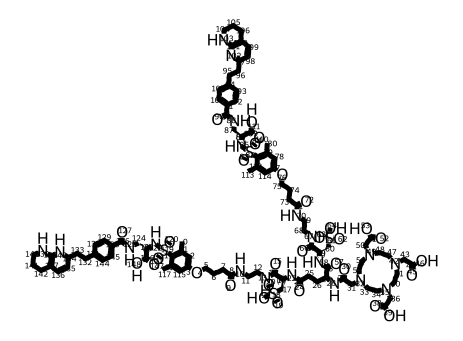 Cc1cc(OCCCC(=O)NCCNC(=O)[C@H](CS(=O)(=O)O)NC(=O)CCC(NC(=O)CN2CCN(CC(=O)O)CCN(CC(=O)O)CCN(CC(=O)O)CC2)C(=O)N[C@@H](CS(=O)(=O)O)C(=O)NCCNC(=O)CCCOc2cc(C)c(S(=O)(=O)N[C@@H](CNC(=O)c3ccc(CCc4ccc5c(n4)NCCC5)cc3)C(=O)O)c(C)c2)cc(C)c1S(=O)(=O)N[C@@H](CNC(=O)c1ccc(CCC2C=CC3=C(NCCC3)N2)cc1)C(=O)O